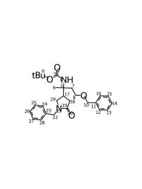 CC(C)(C)OC(=O)NC(C)(CCOCc1ccccc1)C1CC(=O)N(Cc2ccccc2)C1